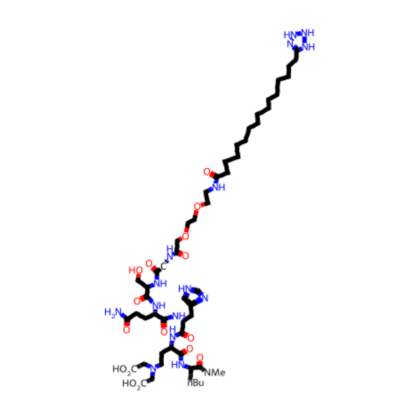 CCCCC(NC(=O)C(CCN(CC(=O)O)CC(=O)O)NC(=O)C(Cc1c[nH]cn1)NC(=O)C(CCC(N)=O)NC(=O)C(CO)NC(=O)CNC(=O)COCCOCCNC(=O)CCCCCCCCCCCCCCCC1=NNNN1)C(=O)NC